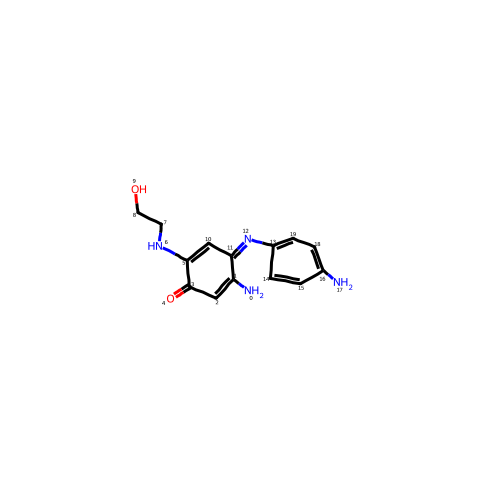 NC1=CC(=O)C(NCCO)=C/C1=N/c1ccc(N)cc1